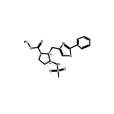 CC(C)OC(=O)N1CC[C@H](NS(C)(=O)=O)[C@@H]1Cc1csc(-c2ccccc2)n1